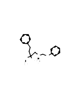 CCOC(=O)C(CCc1ccccc1)(C[PH](=O)CSc1ccccc1)OCC